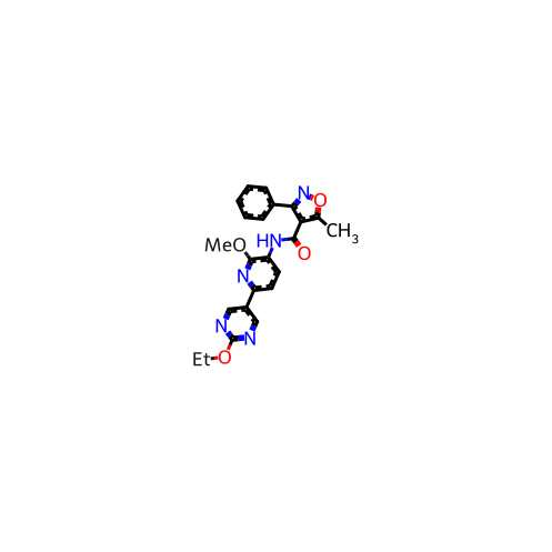 CCOc1ncc(-c2ccc(NC(=O)c3c(-c4ccccc4)noc3C)c(OC)n2)cn1